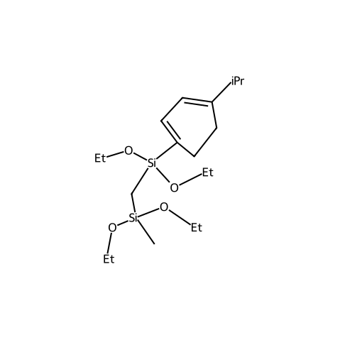 CCO[Si](C)(C[Si](OCC)(OCC)C1=CC=C(C(C)C)CC1)OCC